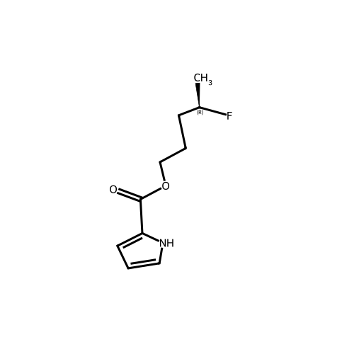 C[C@@H](F)CCCOC(=O)c1ccc[nH]1